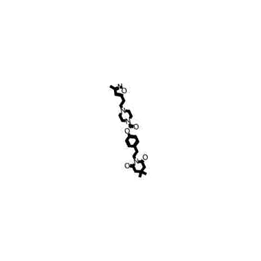 Cc1cc(CCN2CCN(C(=O)Oc3ccc(CCN4C(=O)CC(C)(C)CC4=O)cc3)CC2)on1